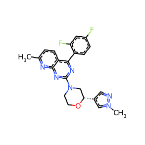 Cc1ccc2c(-c3ccc(F)cc3F)nc(N3CCO[C@@H](c4cnn(C)c4)C3)nc2n1